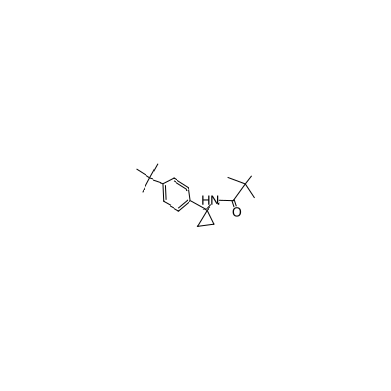 CC(C)(C)C(=O)NC1(c2ccc(C(C)(C)C)cc2)CC1